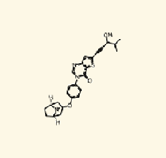 CC(C)C(O)C#Cc1cc2ncn(-c3ccc(O[C@H]4C[C@H]5CC[C@@H](C4)N5C)cc3)c(=O)c2s1